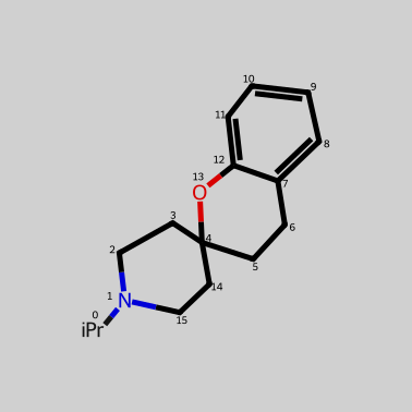 CC(C)N1CCC2(CCc3ccccc3O2)CC1